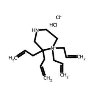 C=CCC1(CC=C)CNCC[N+]1(CC=C)CC=C.Cl.[Cl-]